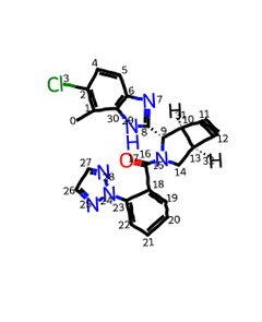 Cc1c(Cl)ccc2nc([C@@H]3[C@H]4C#C[C@H]4CN3C(=O)c3ccccc3-n3nccn3)[nH]c12